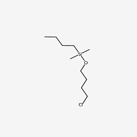 CCCC[Si](C)(C)OCCCCCl